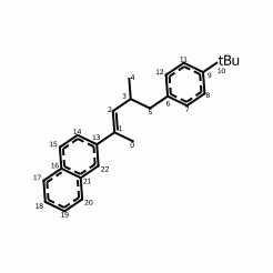 CC(=CC(C)Cc1ccc(C(C)(C)C)cc1)c1ccc2ccccc2c1